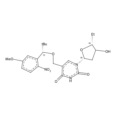 CC[C@H]1O[C@@H](n2cc(CO[C@H](c3cc(OC)ccc3[N+](=O)[O-])C(C)(C)C)c(=O)[nH]c2=O)CC1O